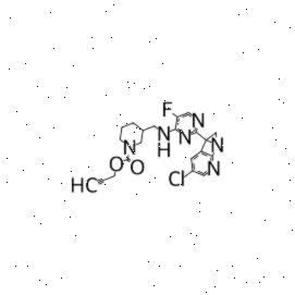 C#CCOC(=O)N1CCCC(CNc2nc(C34CN3c3ncc(Cl)cc34)ncc2F)C1